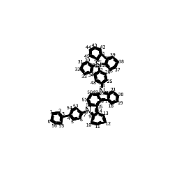 c1ccc(-c2ccc(-n3c4ccccc4c4c5c6ccccc6n(-c6ccc([Si]7(c8ccccc8)c8ccccc8-c8ccccc87)cc6)c5ccc43)cc2)cc1